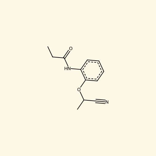 CCC(=O)Nc1ccccc1OC(C)C#N